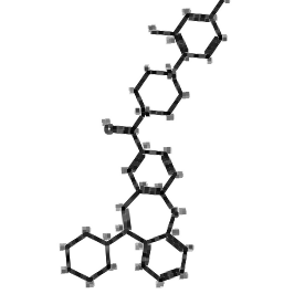 Cc1ccc(N2CCN(C(=O)c3ccc4c(c3)C=C(C3CCCCC3)c3ccccc3S4)CC2)c(C)c1